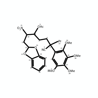 COc1cc(C(C#N)(CCC(OC(C)=O)C(CC2Oc3ccccc3O2)[N+](=O)[O-])C(C)C)c(OC)c(OC)c1OC